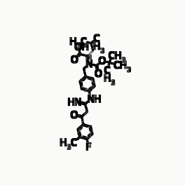 Cc1cc(C(=O)CC(=N)Nc2ccc(CN(C(=O)OC(C)(C)C)[C@@H](CC(C)C)C(=O)O)cc2)ccc1F